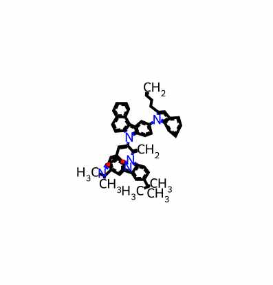 C=CCCc1cc2ccccc2n1-c1ccc2c(c1)c1c3ccccc3ccc1n2/C(=C/C(C#N)=C/C#N)C(=C)n1c2ccc(C(C)C)cc2c2cc(C(C)(C)C)ccc21